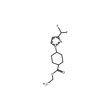 CCOC(=O)C1CCC(n2ccc(C(F)F)n2)CC1